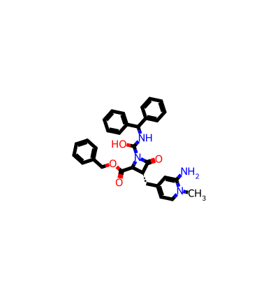 CN1CC=C(C[C@H]2C(=O)N(C(O)NC(c3ccccc3)c3ccccc3)C2C(=O)OCc2ccccc2)C=C1N